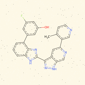 Cc1ccncc1-c1cc2c(-c3nc4c(-c5cc(O)cc(F)c5)cccc4[nH]3)n[nH]c2cn1